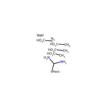 CC(=O)O.CC(=O)O.CC(=O)O.CC(=O)O.CCCCCC(N)N.[NaH]